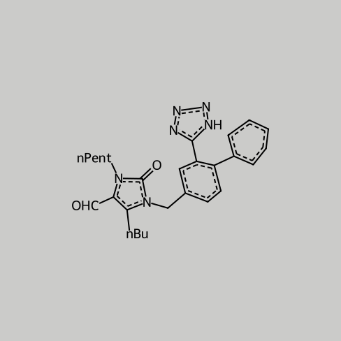 CCCCCn1c(C=O)c(CCCC)n(Cc2ccc(-c3ccccc3)c(-c3nnn[nH]3)c2)c1=O